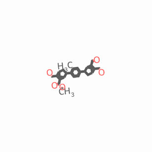 COC(=O)C1C(C=O)C2CC(c3ccc(C4CC5CC4C(C=O)C5C=O)cc3C)C1C2